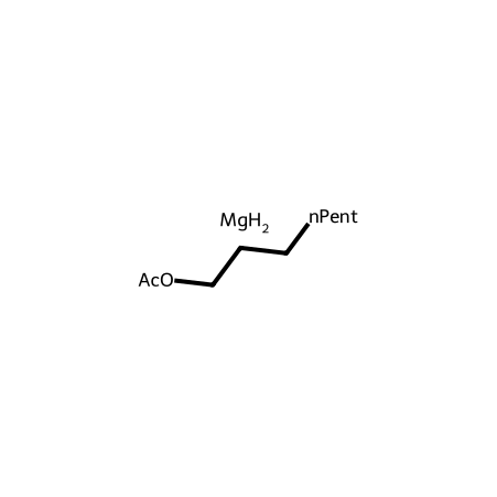 CCCCCCCCOC(C)=O.[MgH2]